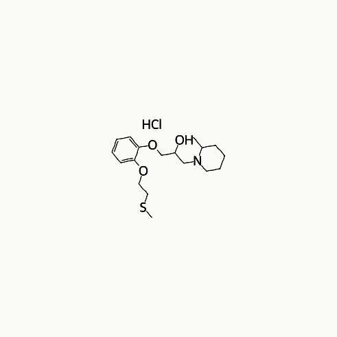 CSCCOc1ccccc1OCC(O)CN1CCCCC1C.Cl